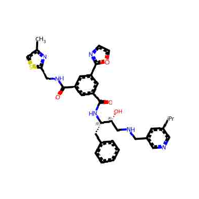 Cc1csc(CNC(=O)c2cc(C(=O)N[C@@H](Cc3ccccc3)[C@H](O)CNCc3cncc(C(C)C)c3)cc(-c3ncco3)c2)n1